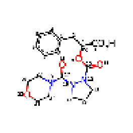 O=C(O)[C@H](Cc1ccccc1)OC(=O)N1CCCN1C(=O)N1CCOCC1